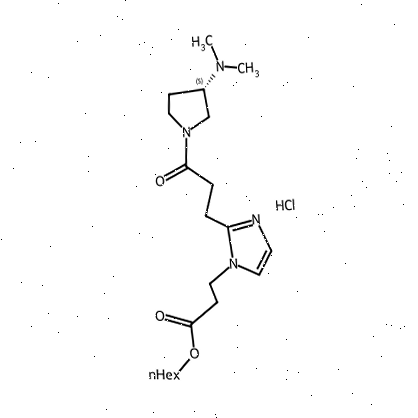 CCCCCCOC(=O)CCn1ccnc1CCC(=O)N1CC[C@H](N(C)C)C1.Cl